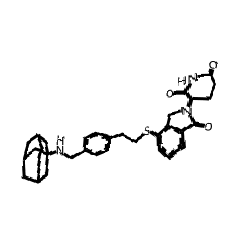 O=C1CCC(N2Cc3c(SCCc4ccc(CNC56CC7CC(CC(C7)C5)C6)cc4)cccc3C2=O)C(=O)N1